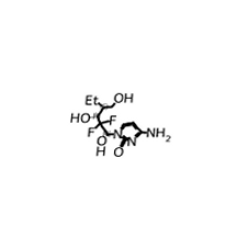 CC[C@@H](CO)[C@@H](O)C(F)(F)[C@@H](O)n1ccc(N)nc1=O